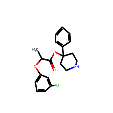 CC(Oc1cccc(Cl)c1)C(=O)OC1(c2ccccc2)CCNCC1